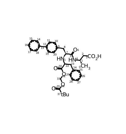 C[C@H](CC(=O)O)NC(=O)[C@H](Cc1ccc(-c2ccccc2)cc1)NC(Cc1ccccc1)C(=O)OCOC(=O)C(C)(C)C